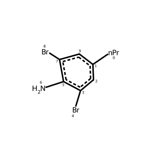 CCCc1cc(Br)c(N)c(Br)c1